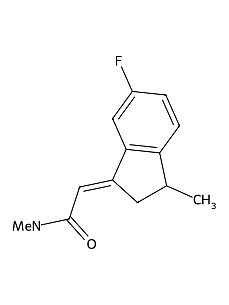 CNC(=O)C=C1CC(C)c2ccc(F)cc21